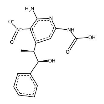 C[C@@H](c1cc(NC(=O)O)nc(N)c1[N+](=O)[O-])[C@@H](O)c1ccccc1